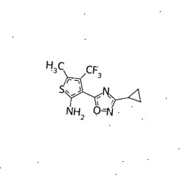 Cc1sc(N)c(-c2nc(C3CC3)no2)c1C(F)(F)F